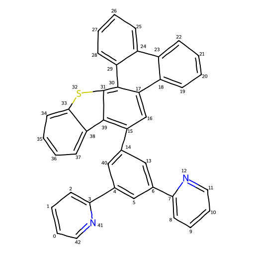 c1ccc(-c2cc(-c3ccccn3)cc(-c3cc4c5ccccc5c5ccccc5c4c4sc5ccccc5c34)c2)nc1